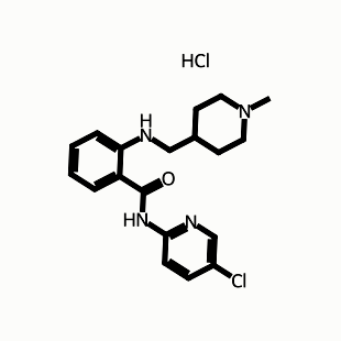 CN1CCC(CNc2ccccc2C(=O)Nc2ccc(Cl)cn2)CC1.Cl